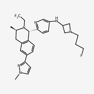 C[C@@H]1Cc2cc(-c3ccn(C)n3)ccc2[C@@H](c2ccc(NC3CN(CCCF)C3)cn2)N1CC(F)(F)F